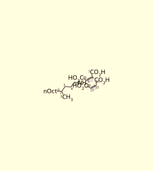 CCCCCCCCC(C)CCCN.O=C(O)/C=C\C(=O)O.O=C(O)/C=C\C(=O)O